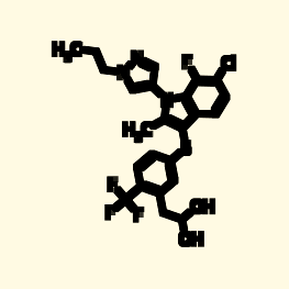 CCCn1cc(-n2c(C)c(Sc3ccc(C(F)(F)F)c(CC(O)O)c3)c3ccc(Cl)c(F)c32)cn1